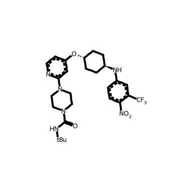 CC(C)(C)NC(=O)N1CCN(c2cc(O[C@H]3CC[C@H](Nc4ccc([N+](=O)[O-])c(C(F)(F)F)c4)CC3)ccn2)CC1